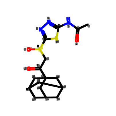 CC(=O)Nc1nnc([S+]([O-])CC(=O)C23CC4CC(CC(C4)C2)C3)s1